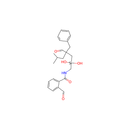 CC(C)CC([C]=O)(Cc1ccccc1)C[Si](O)(O)CNC(=O)c1ccccc1C=O